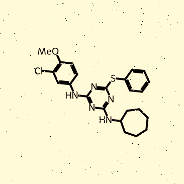 COc1ccc(Nc2nc(NC3CCCCCC3)nc(Sc3ccccc3)n2)cc1Cl